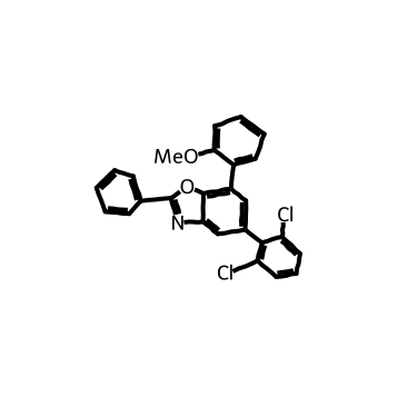 COc1ccccc1-c1cc(-c2c(Cl)cccc2Cl)cc2nc(-c3ccccc3)oc12